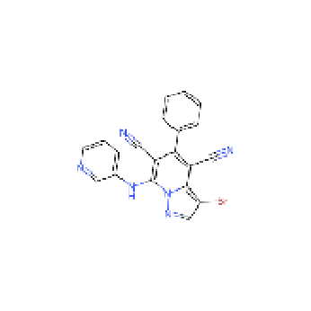 N#Cc1c(-c2ccccc2)c(C#N)c2c(Br)cnn2c1Nc1cccnc1